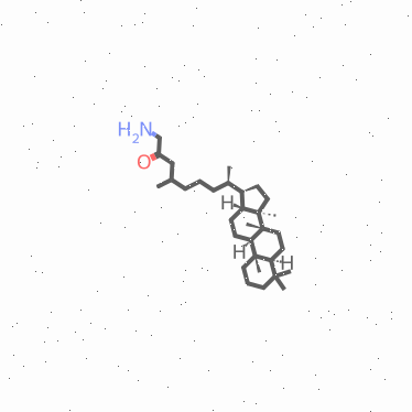 CC(CCC[C@@H](C)[C@H]1CC[C@]2(C)[C@@H]1CC[C@@H]1[C@@]3(C)CCCC(C)(C)[C@@H]3CC[C@]12C)CC(=O)CN